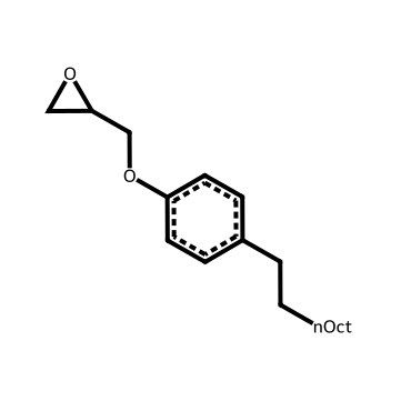 CCCCCCCCCCc1ccc(OCC2CO2)cc1